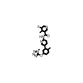 Cc1ccc(Oc2nnnn2C)cc1-c1ccc(NC(=O)c2cncc(F)c2C)nc1